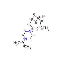 CC1CC(N2CCN(C(C)C)CC2)CC2CC(I)(C1)C2